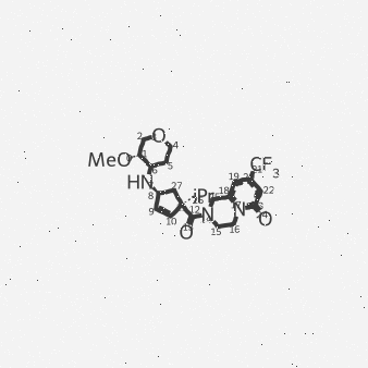 CO[C@@H]1COCCC1N[C@@H]1C=C[C@@](C(=O)N2CCn3c(cc(C(F)(F)F)cc3=O)C2)(C(C)C)C1